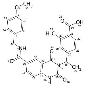 COc1ccc(CNC(=O)c2ccc3[nH]c(=O)n(C(C)c4ccc(C(=O)O)c(C)c4)c(=O)c3c2)cc1